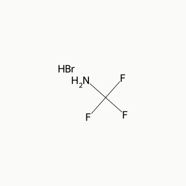 Br.NC(F)(F)F